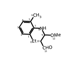 CCc1cccc(C)c1NC(CC=O)OC